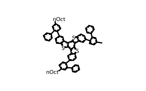 CCCCCCCCc1ccc(-c2ccc3sc4c5c6cc(-c7ccc(C)cc7-c7ccccc7)ccc6sc5c5c6cc(-c7ccc(CCCCCCCC)cc7-c7ccccc7)ccc6sc5c4c3c2)c(-c2ccccc2)c1